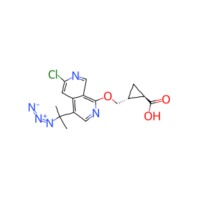 CC(C)(N=[N+]=[N-])c1cnc(OC[C@@H]2C[C@H]2C(=O)O)c2cnc(Cl)cc12